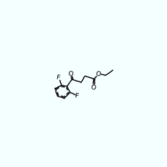 CCOC(=O)CCC(=O)c1c(F)cccc1F